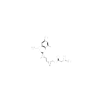 COc1cc(C(C)C)cc(C)c1OC(=O)N(C)CCN(C)COC(=O)CNC(C)C